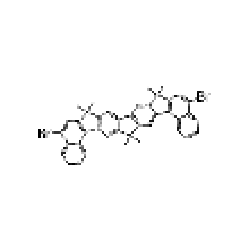 CC1(C)c2cc3c(cc2-c2cc4c(cc21)-c1c(cc(Br)c2ccccc12)C4(C)C)C(C)(C)c1cc(Br)c2ccccc2c1-3